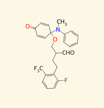 CN(c1ccccc1)C1(OCC(C=O)CCc2c(F)cccc2C(F)(F)F)C=CC(=O)C=C1